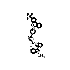 Cn1cc(C2(CNC(=O)c3csc(C4CCN(C(=O)c5ccccc5-c5ccc(C(F)(F)F)cc5)CC4)n3)CCCC2)c2ccccc21